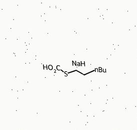 CCCCCCSC(=O)O.[NaH]